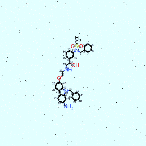 CS(=O)(=O)N(Cc1ccccc1)c1cccc([C@@H](O)CNCCOc2ccc3c4ccc(N)cc4n(Cc4ccccc4)c3c2)c1